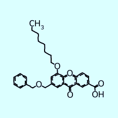 CCCCCCCCOc1cc(COCc2ccccc2)cc2c(=O)c3cc(C(=O)O)ccc3oc12